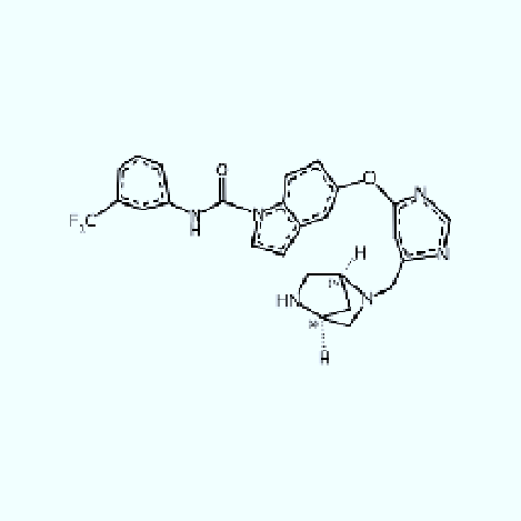 O=C(Nc1cccc(C(F)(F)F)c1)n1ccc2cc(Oc3cc(CN4C[C@@H]5C[C@H]4CN5)ncn3)ccc21